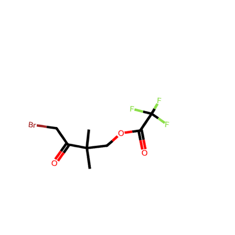 CC(C)(COC(=O)C(F)(F)F)C(=O)CBr